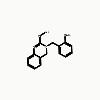 CCCCNC1=Nc2ccccc2CN1Cc1ccccc1OC